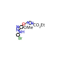 CCOC(=O)CN1CCN(CCOc2cc3ncnc(Nc4cccc(Br)c4)c3cc2OC)CC1